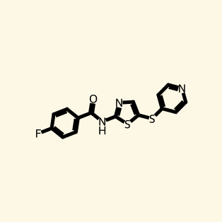 O=C(Nc1ncc(Sc2ccncc2)s1)c1ccc(F)cc1